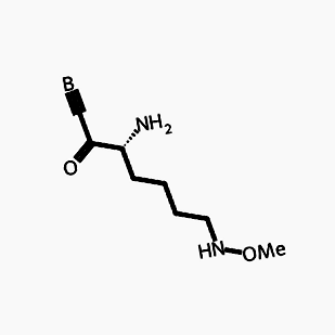 B#CC(=O)[C@H](N)CCCCNOC